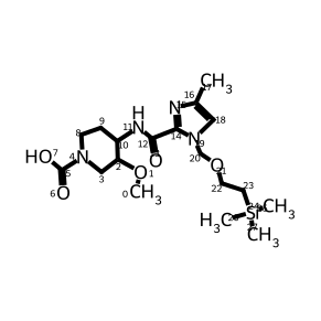 COC1CN(C(=O)O)CCC1NC(=O)c1nc(C)cn1COCC[Si](C)(C)C